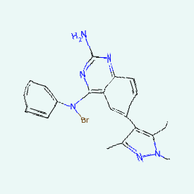 Cc1nn(C)c(C)c1-c1ccc2nc(N)nc(N(Br)c3ccccc3)c2c1